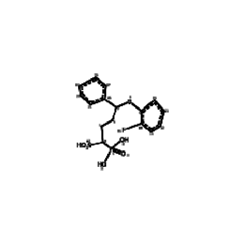 O=P(O)(O)C(CCC(Oc1ccccc1F)c1ccccc1)S(=O)(=O)O